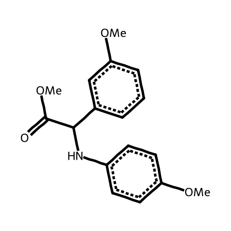 COC(=O)C(Nc1ccc(OC)cc1)c1cccc(OC)c1